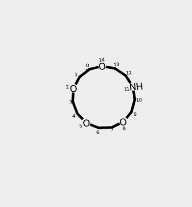 [CH]1COCCOCCOCCNCCO1